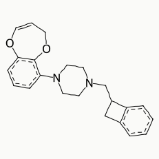 C1=COc2cccc(N3CCN(CC4Cc5ccccc54)CC3)c2OC1